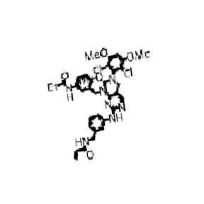 C=CC(=O)NCc1cccc(Nc2ncc3c(n2)N(Cc2cccc(NC(=O)CC)c2)C(OC)N(c2c(Cl)c(OC)cc(OC)c2Cl)C3)c1